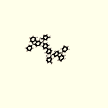 Fc1ccc(F)c(N(c2ccc(-c3ccc(N(c4ccc5c(c4)c4ccccc4n5-c4ccccc4)c4cc(F)ccc4F)cc3)cc2)c2ccc3c(c2)c2ccccc2n3-c2ccccc2)c1